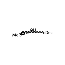 CCCCCCCCCCCCCCCCCCC(O)CCOCc1ccc(OC)cc1